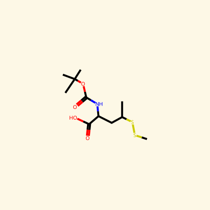 CSSC(C)CC(NC(=O)OC(C)(C)C)C(=O)O